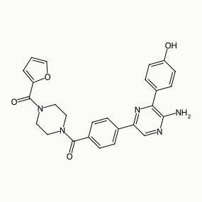 Nc1ncc(-c2ccc(C(=O)N3CCN(C(=O)c4ccco4)CC3)cc2)nc1-c1ccc(O)cc1